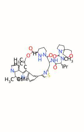 CCn1c(-c2cccnc2[C@H](C)OC)c2c3cc(ccc31)-c1csc(n1)C[C@H](NC(=O)[C@H](C(C)C)N(C)C(=O)N1CCCC13CCOCC3)C(=O)N1CCC[C@H](N1)C(=O)OCC(C)(C)C2